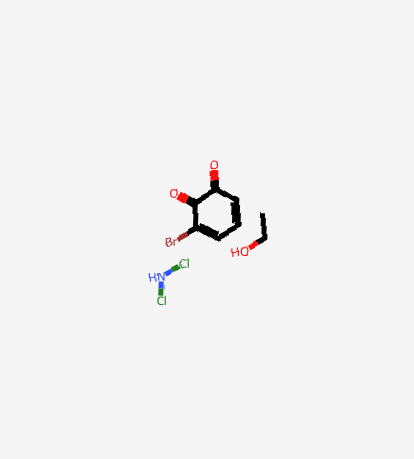 CCO.ClNCl.O=C1C=CC=C(Br)C1=O